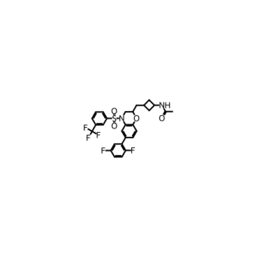 CC(=O)NC1CC(CC2CN(S(=O)(=O)c3cccc(C(F)(F)F)c3)c3cc(-c4cc(F)ccc4F)ccc3O2)C1